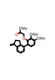 C=C1CCc2c1cccc2-c1ccc(OC)c(OC)c1OCC(=O)OC